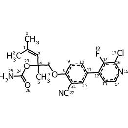 CC(C)=CC(C)(COc1ccc(-c2ccnc(Cl)c2F)cc1C#N)OC(N)=O